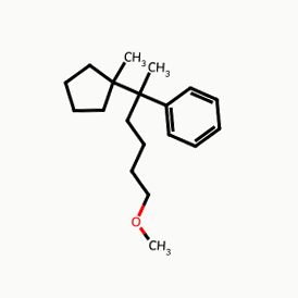 COCCCCC(C)(c1ccccc1)C1(C)CCCC1